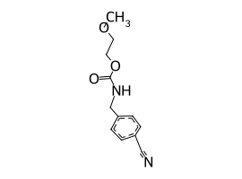 COCCOC(=O)NCc1ccc(C#N)cc1